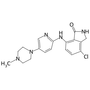 CN1CCN(c2ccc(Nc3ccc(Cl)c4c3C(=O)NC4)nc2)CC1